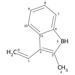 C=CC1=C(C)Bc2ccccc21